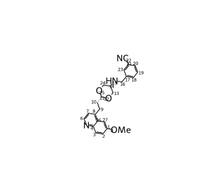 COc1ccc2nccc(CC[C@H]3OC[C@H](NCc4cccc(C#N)c4)CO3)c2c1